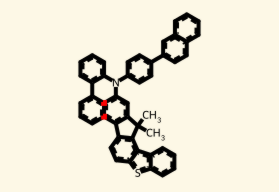 CC1(C)c2cc(N(c3ccc(-c4ccc5ccccc5c4)cc3)c3ccccc3-c3ccccc3)ccc2-c2ccc3sc4ccccc4c3c21